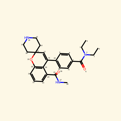 CCN(CC)C(=O)c1ccc(C2=CC3(CCNCC3)Oc3cccc(C(=O)NC)c32)cc1